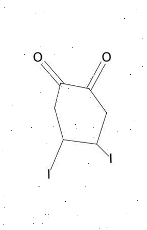 O=C1CC(I)C(I)CC1=O